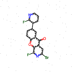 O=c1c2cc(-c3cccnc3F)ccc2oc2c(F)nc(Br)cc12